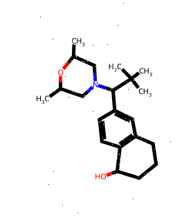 CC1CN(C(c2ccc3c(c2)CCCC3O)C(C)(C)C)CC(C)O1